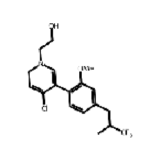 COc1cc(CC(C)C(F)(F)F)ccc1C1=CN(CCO)CC=C1Cl